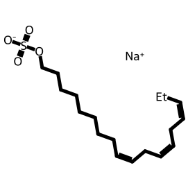 CC/C=C\C/C=C\C/C=C\CCCCCCCCOS(=O)(=O)[O-].[Na+]